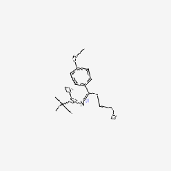 COc1ccc(/C(CCCCl)=N\[S+]([O-])C(C)(C)C)cc1